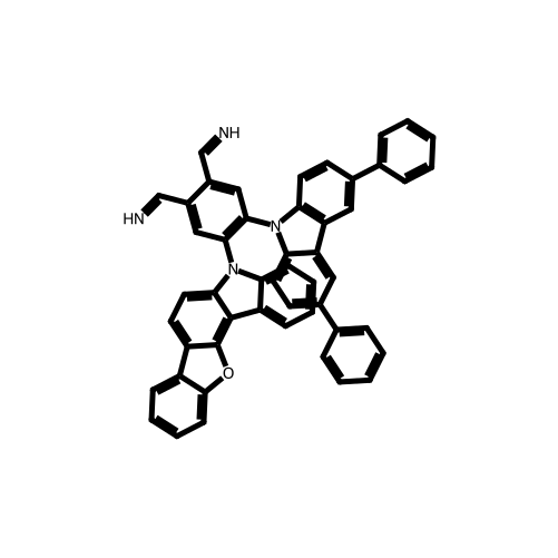 N=Cc1cc(-n2c3ccc(-c4ccccc4)cc3c3cc(-c4ccccc4)ccc32)c(-n2c3ccccc3c3c4oc5ccccc5c4ccc32)cc1C=N